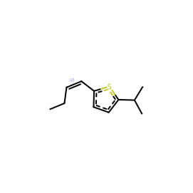 CC/C=C\c1ccc(C(C)C)s1